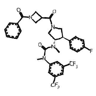 CN(C(=O)N(C)[C@@H]1CN(C(=O)C2CN(C(=O)c3ccccc3)C2)C[C@H]1c1ccc(F)cc1)c1cc(C(F)(F)F)cc(C(F)(F)F)c1